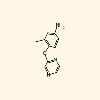 Cc1cc(N)ccc1Oc1cnccn1